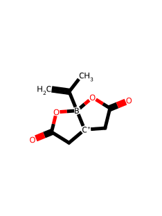 C=C(C)[B-]12OC(=O)C[C+]1CC(=O)O2